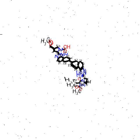 COCC1CC(c2nc3ccc4cc(-c5ccc6c(ccc7nc([C@@H]8C[C@H]9C[C@H]9N8C(=O)[C@@H](NC(=O)OC)C(C)C)[nH]c76)c5)ccc4c3[nH]2)N(C(=O)O)C1